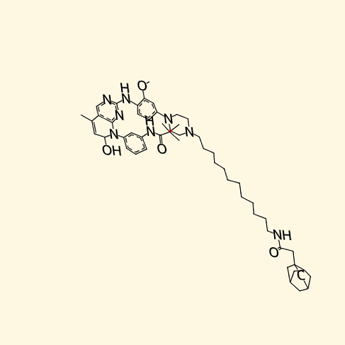 COc1cc(N2CCN(CCCCCCCCCCCCNC(=O)CC34CC5CC(CC3C5)C4)CC2)ccc1Nc1ncc2c(n1)N(c1cccc(NC(=O)C(C)(C)C)c1)C(O)C=C2C